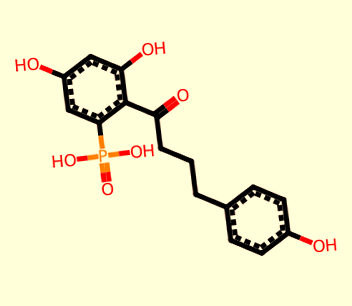 O=C(CCCc1ccc(O)cc1)c1c(O)cc(O)cc1P(=O)(O)O